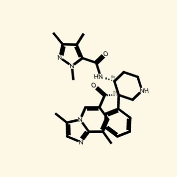 Cc1nn(C)c(C(=O)N[C@@H]2CCNC[C@@]2(C(=O)c2cc(C)c3ncc(C)n3c2)c2ccccc2)c1C